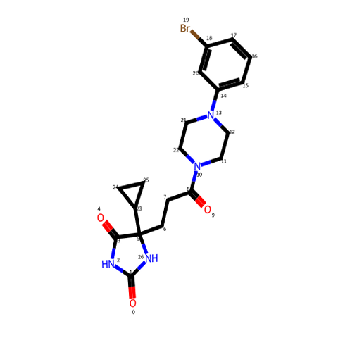 O=C1NC(=O)C(CCC(=O)N2CCN(c3cccc(Br)c3)CC2)(C2CC2)N1